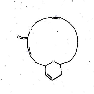 O=C1/C=C\CC2C=CCC(CCCCCC/C=C\CCO1)O2